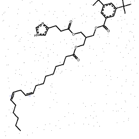 CCCCC/C=C\C/C=C\CCCCCCCC(=O)OCC(COC(=O)CCc1c[nH]cn1)COC(=O)c1cc(C(C)(C)C)cc(C(C)(C)C)c1